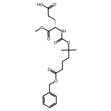 COC(=O)[C@H](CCC(=O)O)NC(=O)OC(C)(C)CCCC(=O)OCc1ccccc1